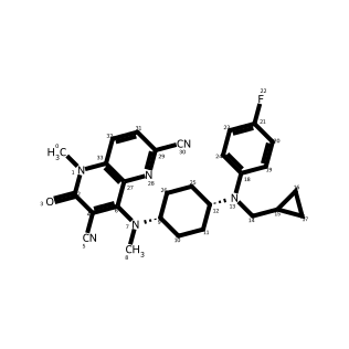 Cn1c(=O)c(C#N)c(N(C)[C@H]2CC[C@@H](N(CC3CC3)c3ccc(F)cc3)CC2)c2nc(C#N)ccc21